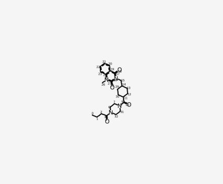 CCCC(=O)N1CCN(C(=O)C2CCC(Cn3c(=O)c4ccccc4n(C)c3=O)CC2)CC1